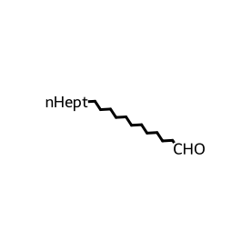 [CH2]CCCCCCCCCCCCCCCCCC=O